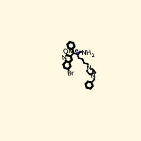 COc1nc2ccc(Br)cc2cc1C(/C(=C/N)CCCCN1CC2CC1CN2Cc1ccccc1)c1ccccc1